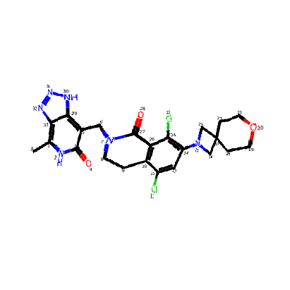 Cc1[nH]c(=O)c(CN2CCc3c(Cl)cc(N4CC5(CCOCC5)C4)c(Cl)c3C2=O)c2[nH]nnc12